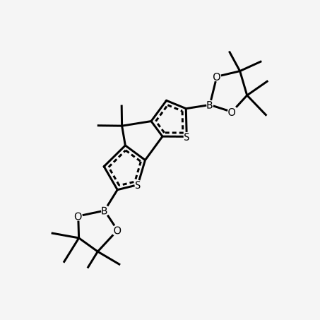 CC1(C)c2cc(B3OC(C)(C)C(C)(C)O3)sc2-c2sc(B3OC(C)(C)C(C)(C)O3)cc21